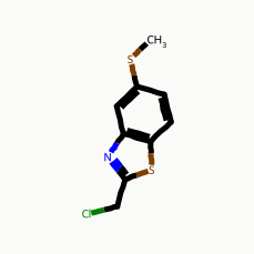 CSc1ccc2sc(CCl)nc2c1